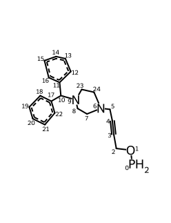 POCC#CCN1CCN(C(c2ccccc2)c2ccccc2)CC1